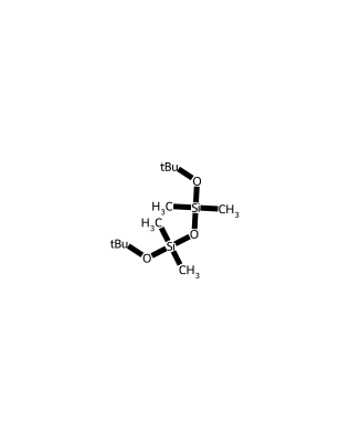 CC(C)(C)O[Si](C)(C)O[Si](C)(C)OC(C)(C)C